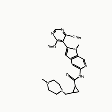 COc1ncnc(OC)c1-c1cc2cc(NC(=O)C3CC3CN3CCN(C)CC3)ncc2n1C